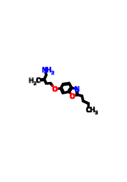 C=C(CN)CCOc1ccc2nc(CCCC)oc2c1